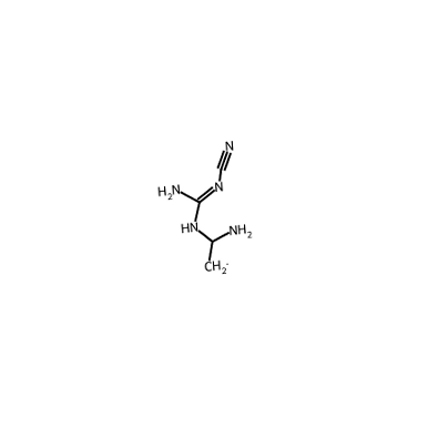 [CH2]C(N)NC(N)=NC#N